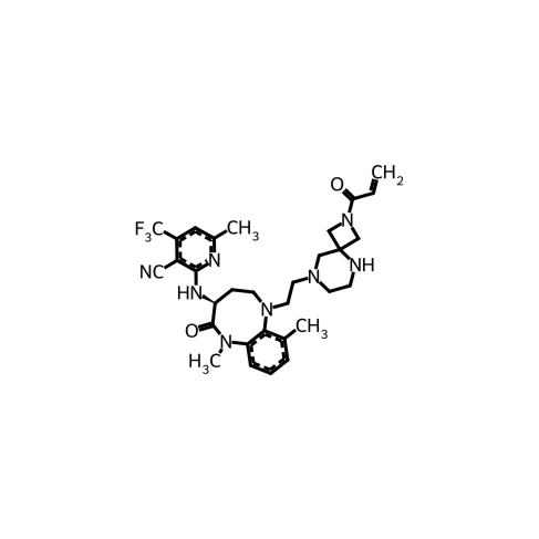 C=CC(=O)N1CC2(CN(CCN3CC[C@H](Nc4nc(C)cc(C(F)(F)F)c4C#N)C(=O)N(C)c4cccc(C)c43)CCN2)C1